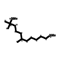 CNCCCCCC(C)CCCC(C)(C)NC